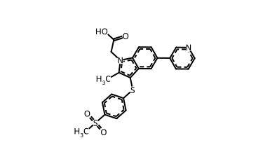 Cc1c(Sc2ccc(S(C)(=O)=O)cc2)c2cc(-c3cccnc3)ccc2n1CC(=O)O